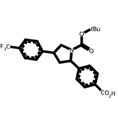 CC(C)(C)OC(=O)N1CC(c2ccc(C(F)(F)F)cc2)CC1c1ccc(C(=O)O)cc1